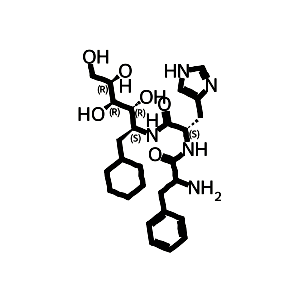 NC(Cc1ccccc1)C(=O)N[C@@H](Cc1c[nH]cn1)C(=O)N[C@@H](CC1CCCCC1)[C@@H](O)[C@@H](O)[C@H](O)CO